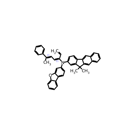 C=C/C(=C\C=C(/C)c1ccccc1)N(c1ccc2c(c1)C(C)(C)c1cc3ccccc3cc1-2)c1ccc2c(c1)oc1ccccc12